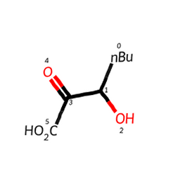 CCCCC(O)C(=O)C(=O)O